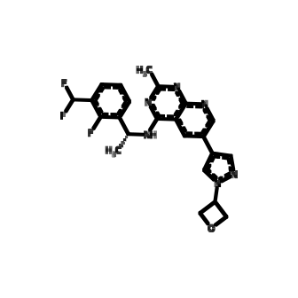 Cc1nc(N[C@H](C)c2cccc(C(F)F)c2F)c2cc(-c3cnn(C4COC4)c3)cnc2n1